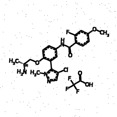 COc1ccc(C(=O)Nc2ccc(OC[C@@H](C)N)c(-c3c(Cl)cnn3C)c2)c(F)c1.O=C(O)C(F)(F)F